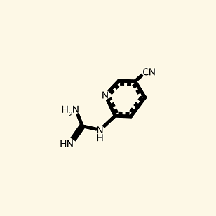 N#Cc1ccc(NC(=N)N)nc1